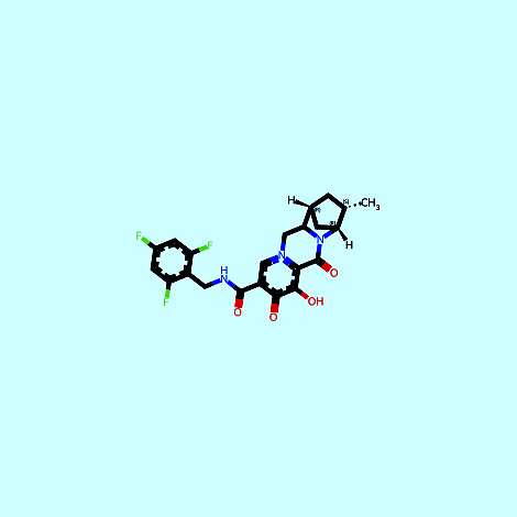 C[C@H]1C[C@@H]2C[C@H]1N1C(=O)c3c(O)c(=O)c(C(=O)NCc4c(F)cc(F)cc4F)cn3CC21